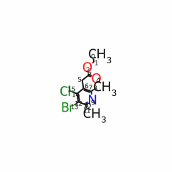 CCOC(=O)Cc1c(C)nc(C)c(Br)c1Cl